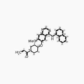 C=CC(=O)N1CCC(Oc2cc3c(Nc4cccc5ccccc45)ncnc3cc2OC)CC1